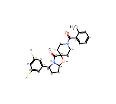 Cc1ccccc1C(=O)N1CCC2(CC1)OC1CCC(c3cc(F)cc(F)c3)N1C2=O